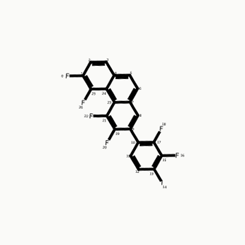 Fc1ccc2ccc3cc(-c4ccc(I)c(F)c4F)c(F)c(F)c3c2c1F